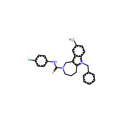 Cc1ccc2c(c1)c1c(n2Cc2ccccc2)CCCN(C(=S)Nc2ccc(F)cc2)C1